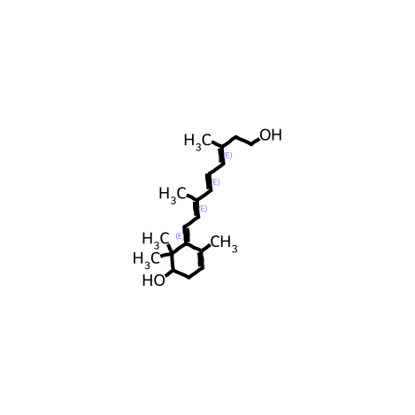 CC1=CCC(O)C(C)(C)/C1=C/C=C(C)/C=C/C=C(\C)CCO